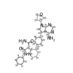 NC(=O)c1c2n(n(-c3ccccc3)c1=O)CCCC2c1ccc(-c2cn(C3CCOC3)c3ncnc(N)c23)cc1